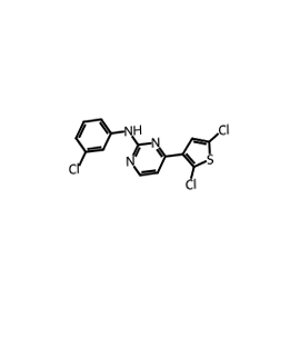 Clc1cccc(Nc2nccc(-c3cc(Cl)sc3Cl)n2)c1